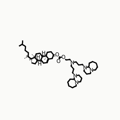 CC(C)CCC[C@@H](C)[C@H]1CC[C@H]2[C@@H]3CC=C4C[C@@H](OC(=O)OCCN(CCCN5CCCN6CCCCCC65)CCCN5CCCN6CCCCCC65)CC[C@]4(C)[C@H]3CC[C@]12C